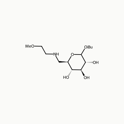 COCCNC[C@H]1OC(OCC(C)C)[C@H](O)[C@@H](O)[C@@H]1O